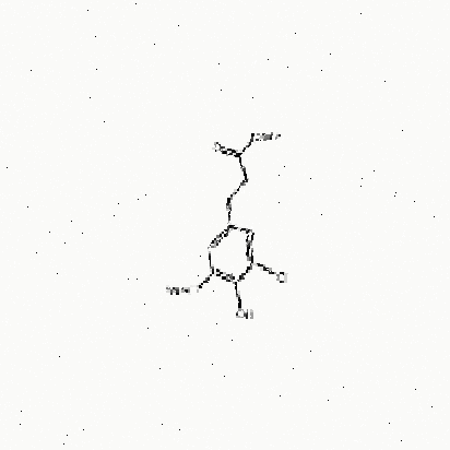 COC(=O)CCc1cc(Cl)c(O)c(OC)c1